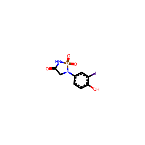 O=C1CN(c2ccc(O)c(I)c2)S(=O)(=O)N1